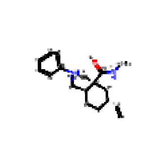 C=C[C@@H]1CC[C@@H](CNc2ccccc2)[C@@](NC(C)=O)(C(=O)NC(C)(C)C)C1